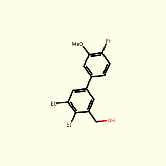 CCc1ccc(-c2cc(CC)c(CC)c(CO)c2)cc1OC